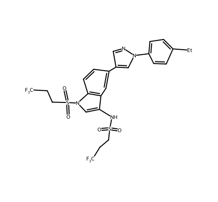 CCc1ccc(-n2cc(-c3ccc4c(c3)c(NS(=O)(=O)CCC(F)(F)F)cn4S(=O)(=O)CCC(F)(F)F)cn2)cc1